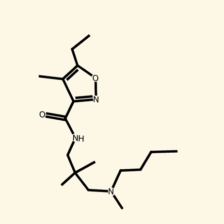 CCCCN(C)CC(C)(C)CNC(=O)c1noc(CC)c1C